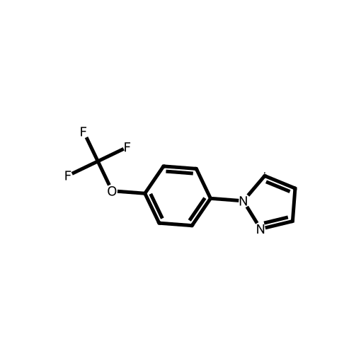 FC(F)(F)Oc1ccc(-n2[c]ccn2)cc1